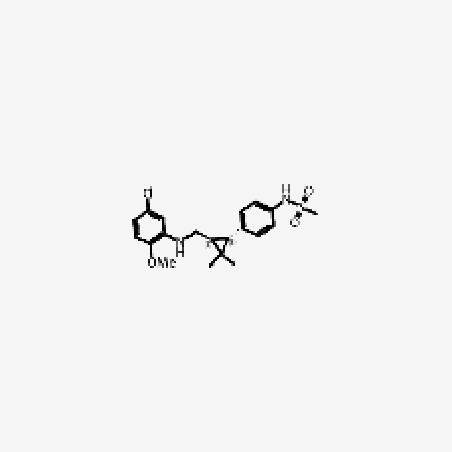 COc1ccc(Cl)cc1NC[C@H]1[C@H](c2ccc(NS(C)(=O)=O)cc2)C1(C)C